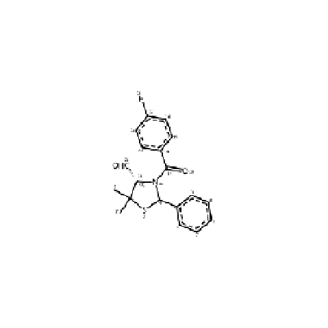 CC1(C)SC(c2ccccc2)N(C(=O)c2ccc(F)cc2)[C@H]1C=O